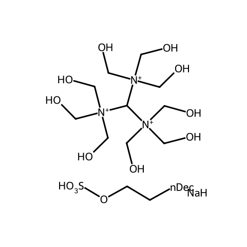 CCCCCCCCCCCCOS(=O)(=O)O.OC[N+](CO)(CO)C([N+](CO)(CO)CO)[N+](CO)(CO)CO.[NaH]